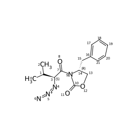 CC(C)[C@H](N=[N+]=[N-])C(=O)N1C(=O)OC[C@H]1Cc1ccccc1